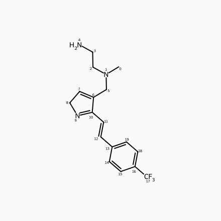 CN(CCN)CC1=CCN=C1/C=C/c1ccc(C(F)(F)F)cc1